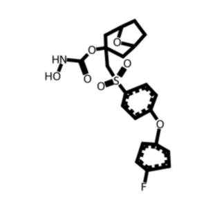 O=C(NO)OC1(CS(=O)(=O)c2ccc(Oc3ccc(F)cc3)cc2)CC2CCC(C1)O2